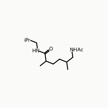 CC(=O)NCC(C)CCC(C)C(=O)NCC(C)C